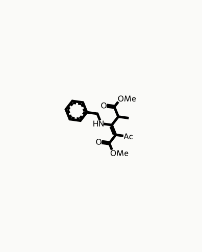 COC(=O)C(C(C)=O)=C(NCc1ccccc1)C(C)C(=O)OC